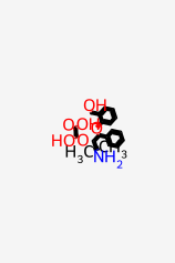 CC(C)(N)CC(Oc1ccccc1CO)c1ccccc1.O=C(O)C(=O)O